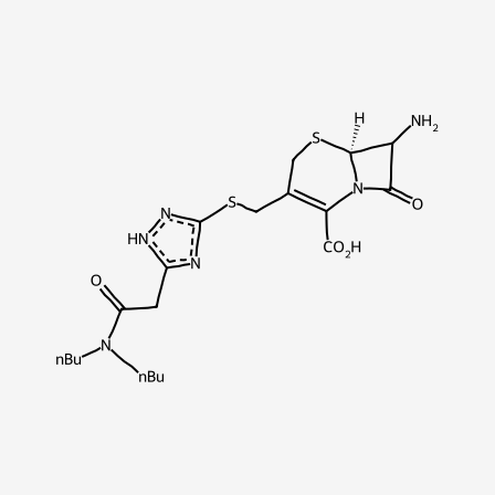 CCCCN(CCCC)C(=O)Cc1nc(SCC2=C(C(=O)O)N3C(=O)C(N)[C@@H]3SC2)n[nH]1